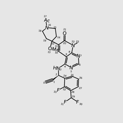 C#C[C@@H](Nc1ncnc2c1cc(C1(OC)CCN(C(C)=O)CC1)c(=O)n2C)c1cccc(C(F)F)c1F